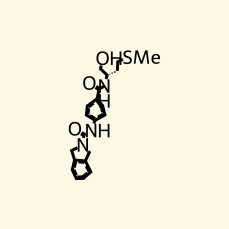 CSCC[C@@H](CO)NC(=O)c1ccc(NC(=O)N2Cc3ccccc3C2)cc1